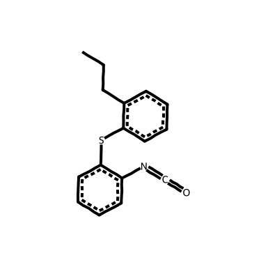 CCCc1ccccc1Sc1ccccc1N=C=O